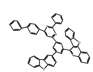 c1ccc(-c2ccc(-c3cc(-c4cc(-c5ccc6sc7ccccc7c6c5)cc(-c5nc6ccccc6c6oc7ccccc7c56)c4)nc(-c4ccccc4)n3)cc2)cc1